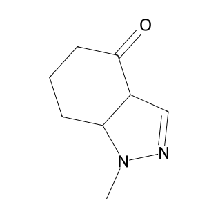 CN1N=CC2C(=O)CCCC21